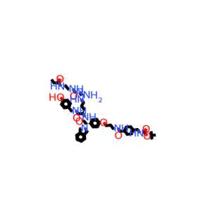 CCC(=O)NCCNC(=O)/N=C(/N)NCCC[C@@H](NC(=O)[C@H](c1ccc(OCCCNC(=O)C2CCC(CNC(=O)OC(C)(C)C)CC2)cc1)N1Cc2ccccc2C1)C(=O)NCc1ccc(O)cc1